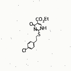 CCOC(=O)c1c[nH]c(SCCc2ccc(Cl)cc2)nc1=O